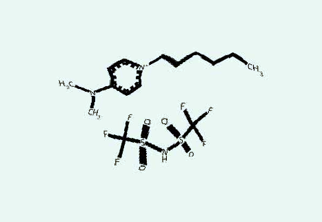 CCCCCC[n+]1ccc(N(C)C)cc1.O=S(=O)(NS(=O)(=O)C(F)(F)F)C(F)(F)F